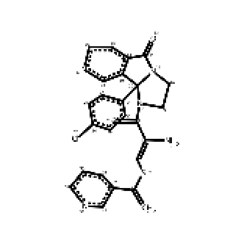 C=C(S/C=C(\N)C(=O)N1CCN2C(=O)c3ccncc3C12c1ccc(Cl)cc1)c1cccnc1